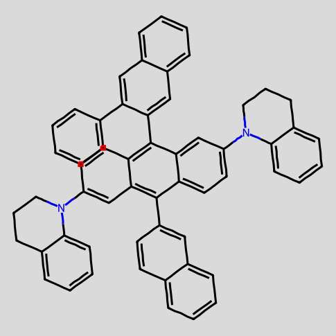 c1ccc(-c2cc3ccccc3cc2-c2c3ccc(N4CCCc5ccccc54)cc3c(-c3ccc4ccccc4c3)c3ccc(N4CCCc5ccccc54)cc23)cc1